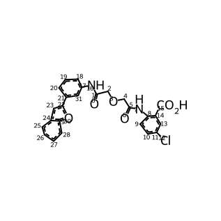 O=C(COCC(=O)Nc1ccc(Cl)cc1C(=O)O)Nc1cccc(-c2cc3ccccc3o2)c1